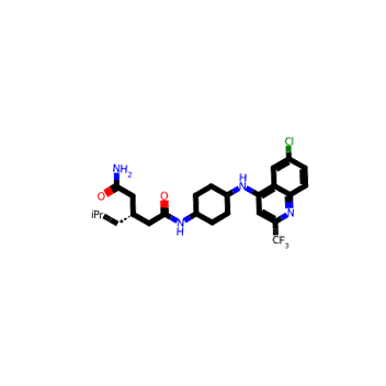 CC(C)C[C@H](CC(N)=O)CC(=O)NC1CCC(Nc2cc(C(F)(F)F)nc3ccc(Cl)cc23)CC1